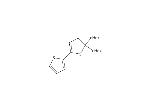 CCCCCCC1(CCCCCC)CC=C(c2cccs2)S1